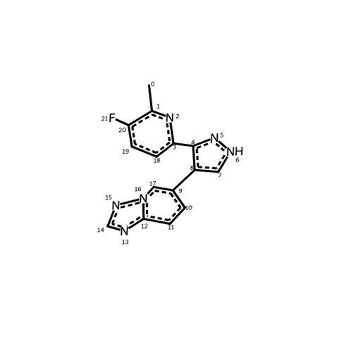 Cc1nc(-c2n[nH]cc2-c2ccc3ncnn3c2)ccc1F